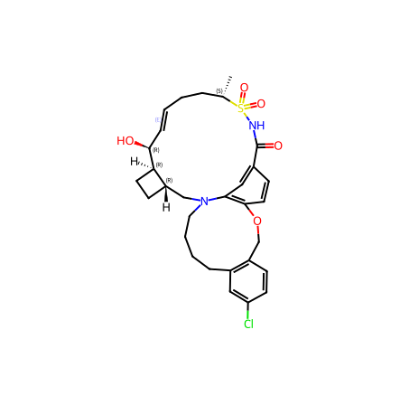 C[C@H]1CC/C=C/[C@H](O)[C@@H]2CC[C@H]2CN2CCCCc3cc(Cl)ccc3COc3ccc(cc32)C(=O)NS1(=O)=O